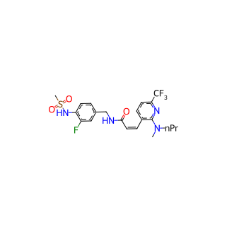 CCCN(C)c1nc(C(F)(F)F)ccc1/C=C\C(=O)NCc1ccc(NS(C)(=O)=O)c(F)c1